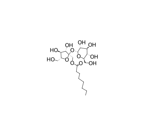 CCCCCCCC(=O)OC[C@]1(O[C@H]2O[C@H](CO)[C@@H](O)[C@H](O)[C@H]2O)O[C@H](CO)[C@@H](O)[C@@H]1O